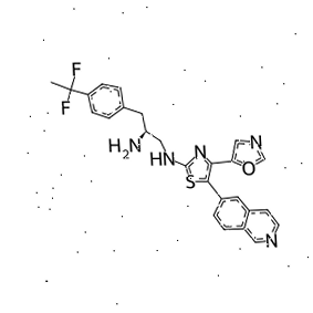 CC(F)(F)c1ccc(C[C@H](N)CNc2nc(-c3cnco3)c(-c3ccc4cnccc4c3)s2)cc1